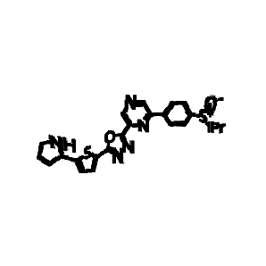 CC(C)[S+]([O-])c1ccc(-c2cncc(-c3nnc(-c4ccc(C5CCCN5)s4)o3)n2)cc1